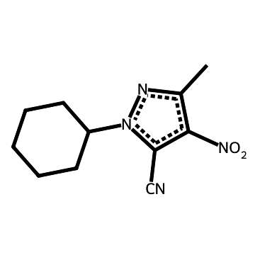 Cc1nn(C2CCCCC2)c(C#N)c1[N+](=O)[O-]